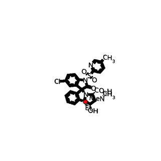 CCOc1ccccc1C1(N2C[C@H](O)C[C@H]2C(=O)O)C(=O)N(S(=O)(=O)c2ccc(C)cn2)c2ccc(Cl)cc21.CNC